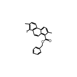 Cc1ccc2c(ccc3c(C(=O)OCc4ccccc4)c(C)ccc32)c1I